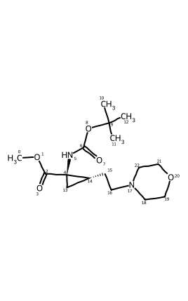 COC(=O)[C@@]1(NC(=O)OC(C)(C)C)C[C@H]1CCN1CCOCC1